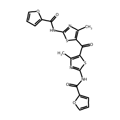 Cc1nc(NC(=O)c2ccco2)sc1C(=O)c1sc(NC(=O)c2ccco2)nc1C